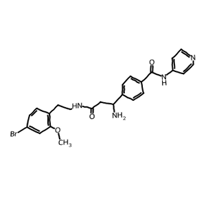 COc1cc(Br)ccc1CCNC(=O)CC(N)c1ccc(C(=O)Nc2ccncc2)cc1